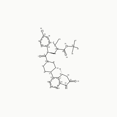 CC(C)N(C[C@@H](C(=O)N1CCC(c2ncnc3c2[C@H](C)CC(=O)N3)CC1)c1ccc(Cl)cc1)C(=O)OC(C)(C)C